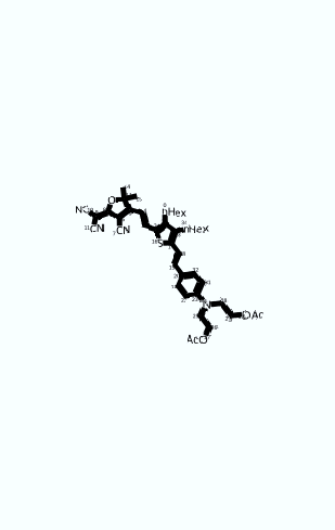 CCCCCCc1c(/C=C/C2=C(C#N)C(=C(C#N)C#N)OC2(C)C)sc(/C=C/c2ccc(N(CCOC(C)=O)CCOC(C)=O)cc2)c1CCCCCC